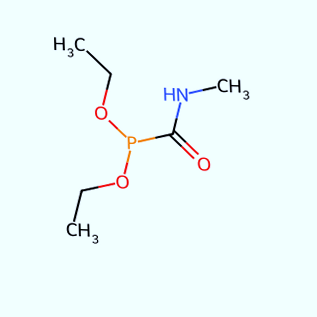 CCOP(OCC)C(=O)NC